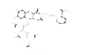 CC(=O)OCC(OC(C)=O)C(OC(C)=O)C(Cn1c2nc(=O)n(CCC[n+]3ccccc3C(N)=O)c(=O)c-2nc2cc(C)c(C)cc21)OC(C)=O.[I-]